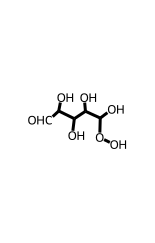 O=CC(O)C(O)C(O)C(O)OO